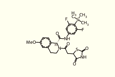 COc1ccc2c(c1)CCN(C(=O)CC1SC(=O)NC1=O)[C@H]2C(=O)Nc1cc(F)c([Si](C)(C)C)c(F)c1